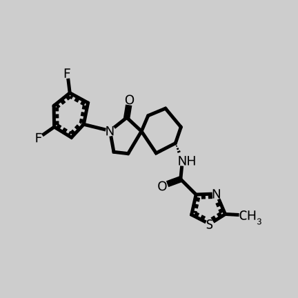 Cc1nc(C(=O)N[C@H]2CCCC3(CCN(c4cc(F)cc(F)c4)C3=O)C2)cs1